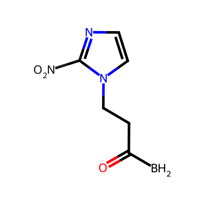 BC(=O)CCn1ccnc1[N+](=O)[O-]